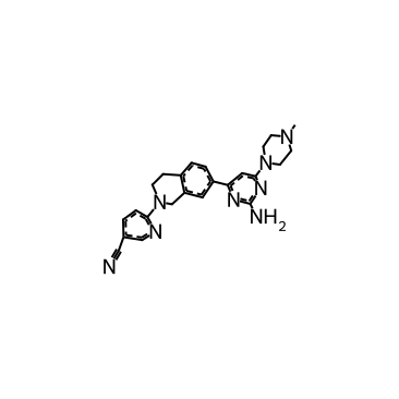 CN1CCN(c2cc(-c3ccc4c(c3)CN(c3ccc(C#N)cn3)CC4)nc(N)n2)CC1